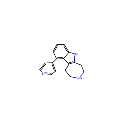 c1cc(-c2ccncc2)c2c3c([nH]c2c1)CCNCC3